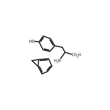 NC(Cc1ccc(O)cc1)C(=O)O.c1ccc2c(c1)C2